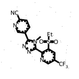 CCS(=O)(=O)c1cc(C(F)(F)F)cnc1-c1nnc(-c2ccc(C#N)nc2)n1C